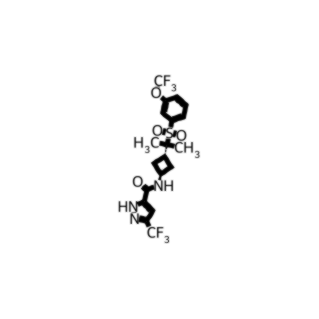 CC(C)([C@H]1C[C@H](NC(=O)c2cc(C(F)(F)F)n[nH]2)C1)S(=O)(=O)c1cccc(OC(F)(F)F)c1